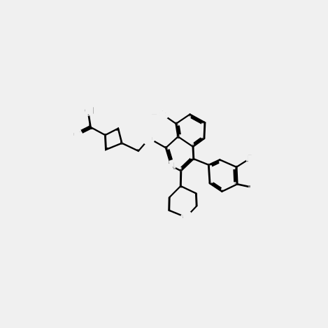 O=C(O)C1CC(COc2nc(C3CCOCC3)c(-c3ccc(F)c(F)c3)c3cccc(O)c23)C1